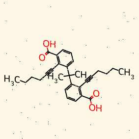 CCCCC#Cc1c(C(=O)O)cccc1C(C)(C)c1cccc(C(=O)O)c1C#CCCCC